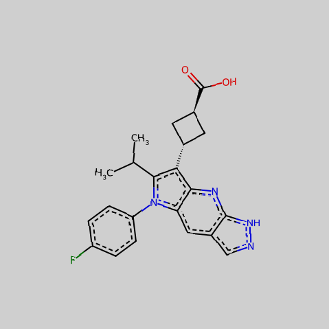 CC(C)c1c([C@H]2C[C@H](C(=O)O)C2)c2nc3[nH]ncc3cc2n1-c1ccc(F)cc1